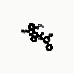 COc1cccc(OC)c1/C(=C/C(=N)C(=O)NC(CCC1CCCCC1)CC(=O)O)NC1CCCC1